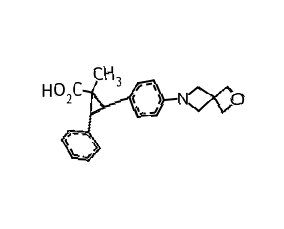 CC1(C(=O)O)C(c2ccccc2)C1c1ccc(N2CC3(COC3)C2)cc1